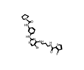 O=C(NCCCNc1nc(Nc2cccc(NC(=O)N3CCCC3)c2)ncc1Br)c1sccc1F